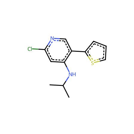 CC(C)Nc1cc(Cl)ncc1-c1cccs1